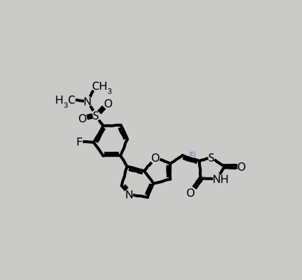 CN(C)S(=O)(=O)c1ccc(-c2cncc3cc(/C=C4/SC(=O)NC4=O)oc23)cc1F